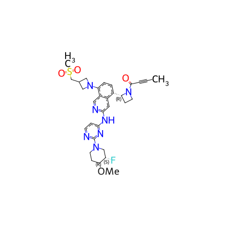 CC#CC(=O)N1CC[C@@H]1c1ccc(N2CC(CS(C)(=O)=O)C2)c2cnc(Nc3ccnc(N4CC[C@@H](OC)[C@@H](F)C4)n3)cc12